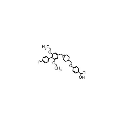 CCOc1cc(CN2CCC(COc3ccc(C(=O)O)cc3)CC2)cc(OCC)c1-c1ccc(F)cc1